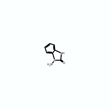 Nn1c(=O)[nH]c2ccccc21